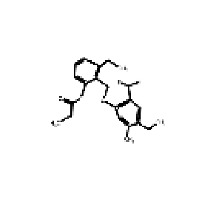 CCC(=O)Oc1cccc(CC)c1COc1cc(C)c(CC)cc1C(F)F